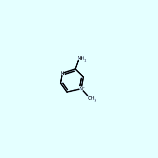 [CH2][n+]1ccnc(N)c1